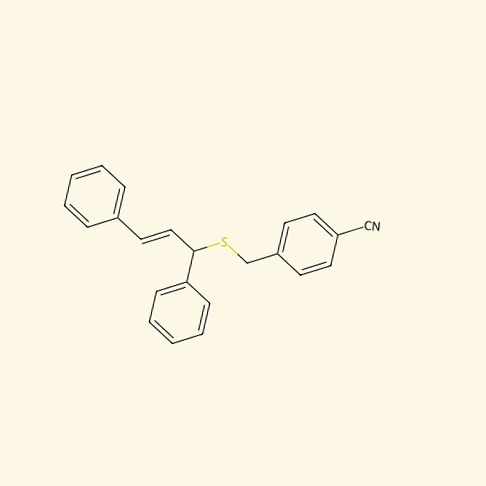 N#Cc1ccc(CSC(/C=C/c2ccccc2)c2ccccc2)cc1